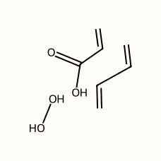 C=CC(=O)O.C=CC=C.OO